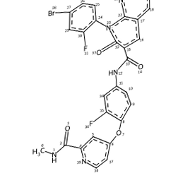 CNC(=O)c1cc(Oc2ccc(NC(=O)c3cc4cccnc4n(-c4ccc(Br)cc4F)c3=O)cc2F)ccn1